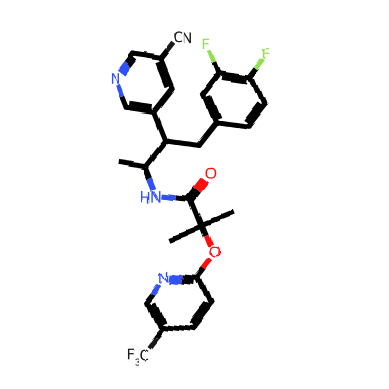 CC(NC(=O)C(C)(C)Oc1ccc(C(F)(F)F)cn1)C(Cc1ccc(F)c(F)c1)c1cncc(C#N)c1